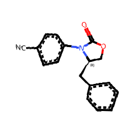 N#Cc1ccc(N2C(=O)OC[C@H]2Cc2ccccc2)cc1